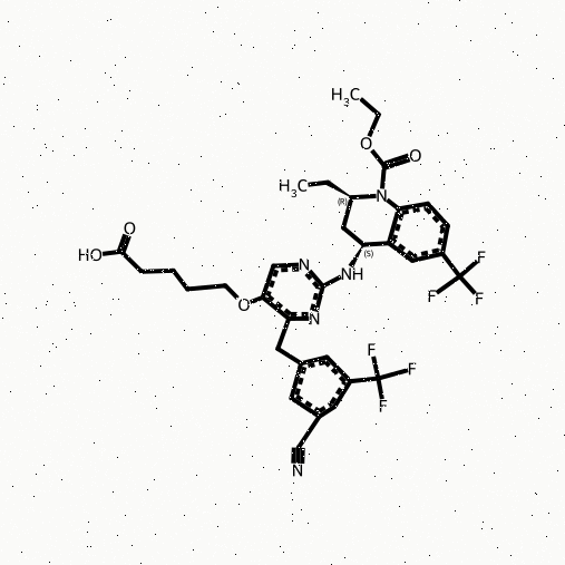 CCOC(=O)N1c2ccc(C(F)(F)F)cc2[C@@H](Nc2ncc(OCCCCC(=O)O)c(Cc3cc(C#N)cc(C(F)(F)F)c3)n2)C[C@H]1CC